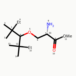 CCC(C)(C)C(OC[C@H](N)C(=O)OC)C(C)(C)CC